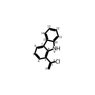 C=C(Cl)c1cccc2c1[nH]c1ccccc12